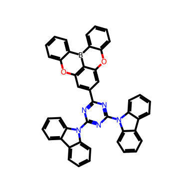 c1ccc2c(c1)Oc1cc(-c3nc(-n4c5ccccc5c5ccccc54)nc(-n4c5ccccc5c5ccccc54)n3)cc3c1B2c1ccccc1O3